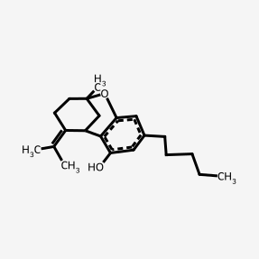 CCCCCc1cc(O)c2c(c1)OC1(C)CCC(=C(C)C)C2C1